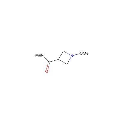 CNC(=O)C1CN(OC)C1